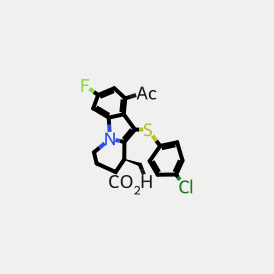 CC(=O)c1cc(F)cc2c1c(Sc1ccc(Cl)cc1)c1n2CCC[C@@H]1CC(=O)O